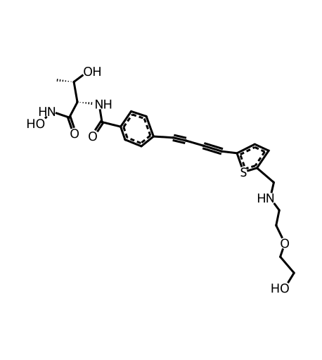 C[C@H](O)[C@H](NC(=O)c1ccc(C#CC#Cc2ccc(CNCCOCCO)s2)cc1)C(=O)NO